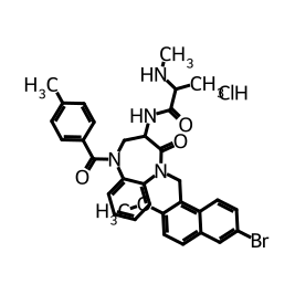 CNC(C)C(=O)NC1CN(C(=O)c2ccc(C)cc2)c2ccccc2N(Cc2c(OC)ccc3cc(Br)ccc23)C1=O.Cl